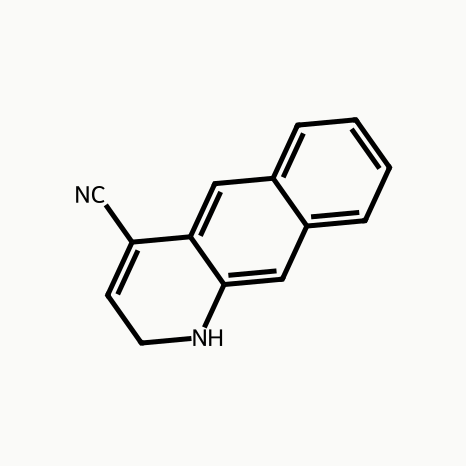 N#CC1=CCNc2cc3ccccc3cc21